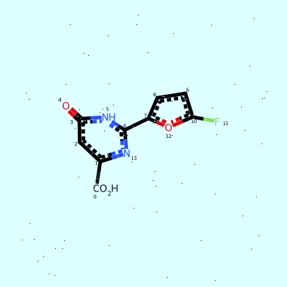 O=C(O)c1cc(=O)[nH]c(-c2ccc(F)o2)n1